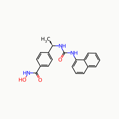 C[C@@H](NC(=O)Nc1cccc2ccccc12)c1ccc(C(=O)NO)cc1